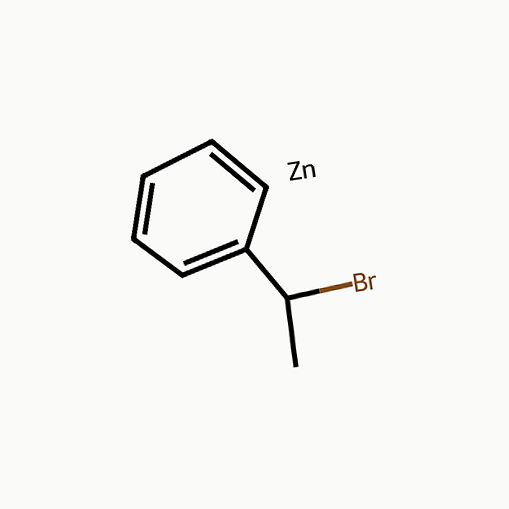 CC(Br)c1ccccc1.[Zn]